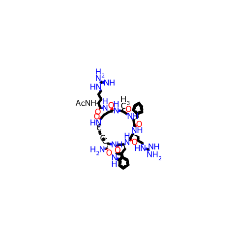 CC(=O)N[C@H](CCCNC(=N)N)C(=O)N[C@H]1CC(=O)NCCCC[C@@H](C(N)=O)NC(=O)[C@H](Cc2c[nH]c3ccccc23)NC(=O)[C@H](CCCNC(=N)N)NC(=O)[C@@H](Cc2ccccc2)NC(=O)[C@H](C)NC1=O